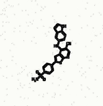 N#Cc1cnc2sc(-c3ccc(S(N)(=O)=O)cc3)cc2c1Nc1ccc2[nH]ccc2c1